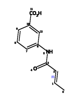 C/C=C/C(=O)Nc1cccc(C(=O)O)c1